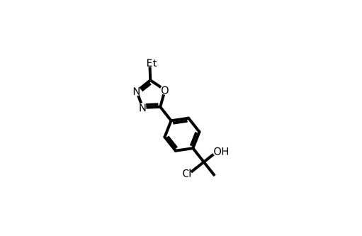 CCc1nnc(-c2ccc(C(C)(O)Cl)cc2)o1